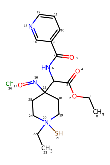 CCOC(=O)C(NC(=O)c1cccnc1)C1(N=O)CC[N+](S)(CC)CC1.[Cl-]